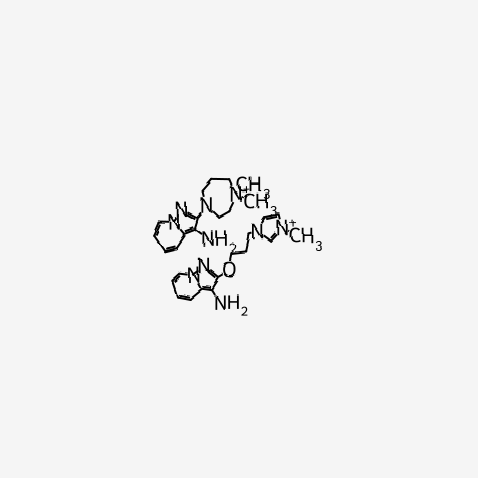 C[N+]1(C)CCCN(c2nn3ccccc3c2N)CC1.C[n+]1ccn(CCCOc2nn3ccccc3c2N)c1